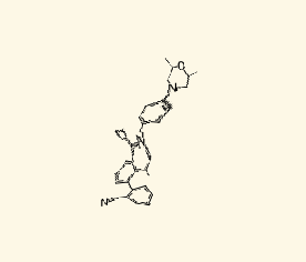 Cc1cn(-c2ccc(N3CC(C)OC(C)C3)cc2)c(=O)c2cccc(-c3ccccc3C#N)c12